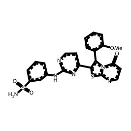 COc1ccccc1-c1c(-c2ccnc(Nc3cccc(S(N)(=O)=O)c3)n2)sc2nccc(=O)n12